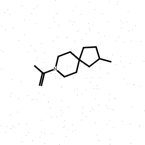 C=C(C)N1CCC2(CCC(C)C2)CC1